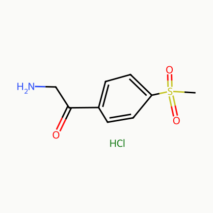 CS(=O)(=O)c1ccc(C(=O)CN)cc1.Cl